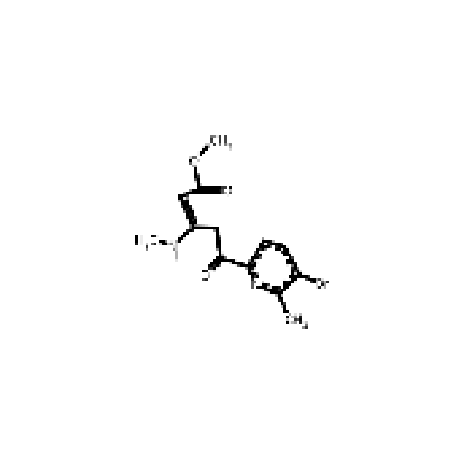 CN/C(=C/C(=O)OC)CC(=O)c1ccc(Br)c(C)n1